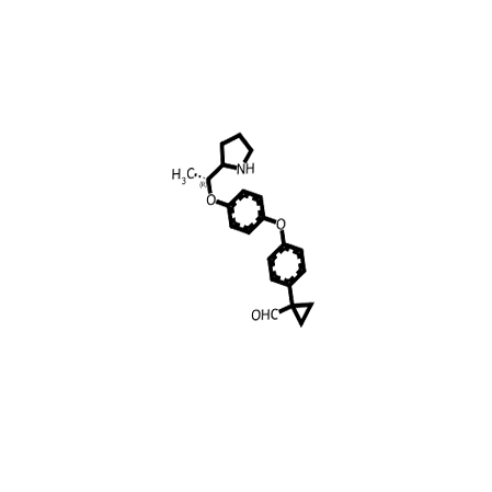 C[C@@H](Oc1ccc(Oc2ccc(C3(C=O)CC3)cc2)cc1)C1CCCN1